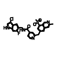 Cc1cc2cc(Cc3cc(C(=O)NCc4cc5c(Cl)c[nH]c5cc4F)ccn3)cc(S(C)(=O)=O)c2cn1